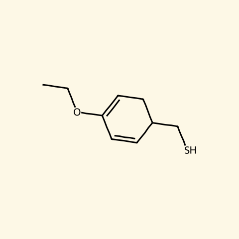 CCOC1=CCC(CS)C=C1